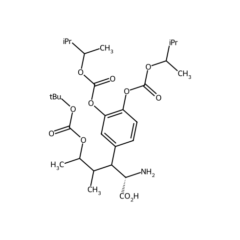 CC(C)C(C)OC(=O)Oc1ccc(C(C(C)C(C)OC(=O)OC(C)(C)C)[C@H](N)C(=O)O)cc1OC(=O)OC(C)C(C)C